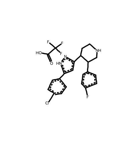 Fc1ccc(C2CNCCC2c2cc(-c3ccc(Cl)cc3)[nH]n2)cc1.O=C(O)C(F)(F)F